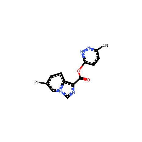 CC(C)c1ccc2c(C(=O)Oc3ccc(C#N)nn3)ncn2c1